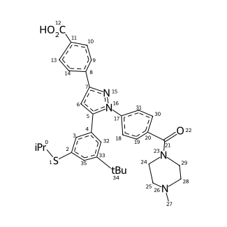 CC(C)Sc1cc(-c2cc(-c3ccc(C(=O)O)cc3)nn2-c2ccc(C(=O)N3CCN(C)CC3)cc2)cc(C(C)(C)C)c1